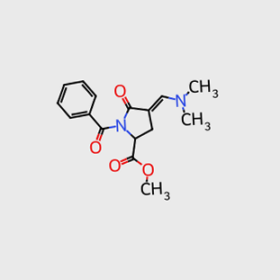 COC(=O)C1CC(=CN(C)C)C(=O)N1C(=O)c1ccccc1